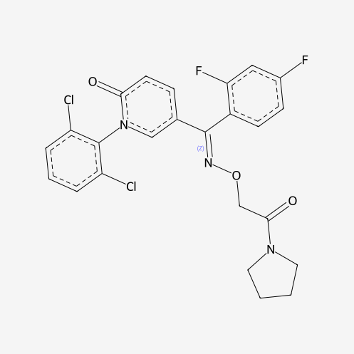 O=C(CO/N=C(/c1ccc(=O)n(-c2c(Cl)cccc2Cl)c1)c1ccc(F)cc1F)N1CCCC1